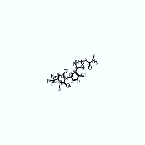 CN(C)C(=O)Cn1nnc(-c2cc(-n3c(=O)cc(C(F)(F)F)n(C)c3=O)ccc2Cl)n1